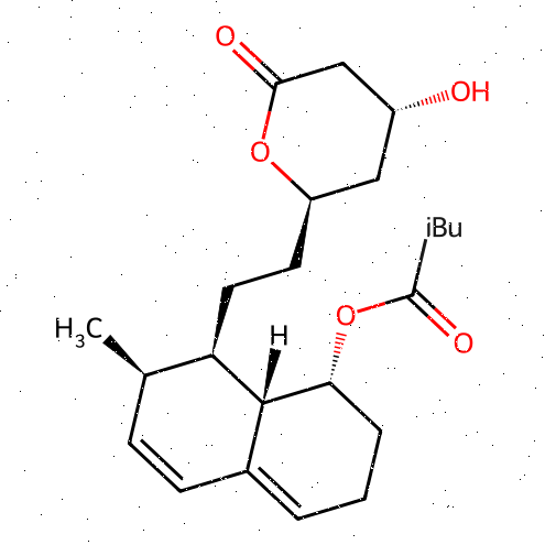 CCC(C)C(=O)O[C@@H]1CCC=C2C=C[C@@H](C)[C@@H](CC[C@@H]3C[C@@H](O)CC(=O)O3)[C@@H]21